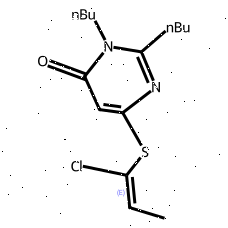 C/C=C(/Cl)Sc1cc(=O)n(CCCC)c(CCCC)n1